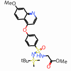 COC(=O)CNS(=O)(=NS(C)(C)C(C)(C)C)c1ccc(Oc2ccnc3cc(OC)ccc23)cc1